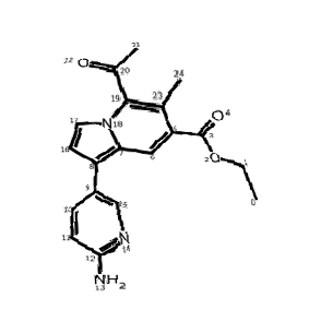 CCOC(=O)c1cc2c(-c3ccc(N)nc3)ccn2c(C(C)=O)c1C